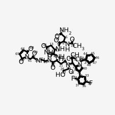 CC(=O)NC(CC(N)=O)C(=O)NC(CC(N)=O)C(=O)NC(CCN(C(=O)CO)C(c1cc(-c2cc(F)ccc2F)cn1Cc1ccccc1)C(C)(C)C)C(=O)NCCNC(=O)CN1C(=O)C=CC1=O